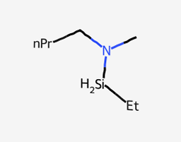 CCCCN(C)[SiH2]CC